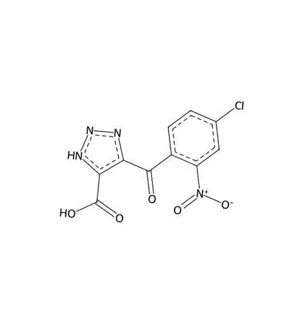 O=C(c1ccc(Cl)cc1[N+](=O)[O-])c1nn[nH]c1C(=O)O